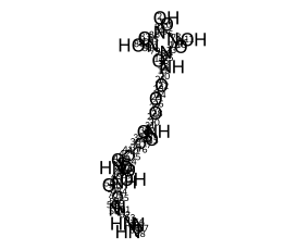 O=C(O)CN1CCN(CC(=O)O)CCN(CC(=O)NCCCOCCOCCOCCCNS(=O)(=O)c2ccc(-c3ccc(S(=O)(=O)NC(CNC(=O)c4ccc5c(cnn5CCCNc5ncc[nH]5)c4)C(=O)O)cc3)cc2)CCN(CC(=O)O)CC1